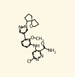 COc1c(Nc2cc(Cl)nnc2C(N)=O)cccc1-c1cnn(C2CCC[C@]23CCCO3)c1